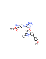 CCCOC(=O)C1CC2(CCN(c3cc(O[C@H](c4ccc(-c5ccc(OC(C)C)cc5)cc4-n4ccc(C)n4)C(F)(F)F)nc(N)n3)CC2)CN1